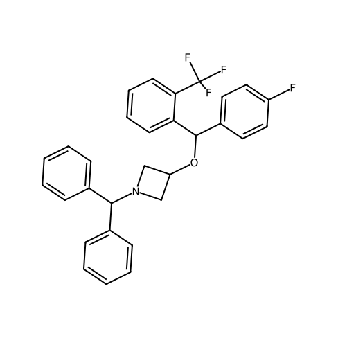 Fc1ccc(C(OC2CN(C(c3ccccc3)c3ccccc3)C2)c2ccccc2C(F)(F)F)cc1